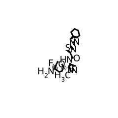 Cn1ncc(NC(=O)c2csc(-n3cc4c(n3)CCCC4)n2)c1[C@@H]1CC[C@@H](N)[C@H](F)CO1